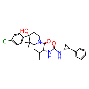 CC(C)[C@@H](NC(=O)N[C@@H]1C[C@H]1c1ccccc1)C(=O)N1CC[C@](O)(c2ccc(Cl)cc2)C(C)(C)C1